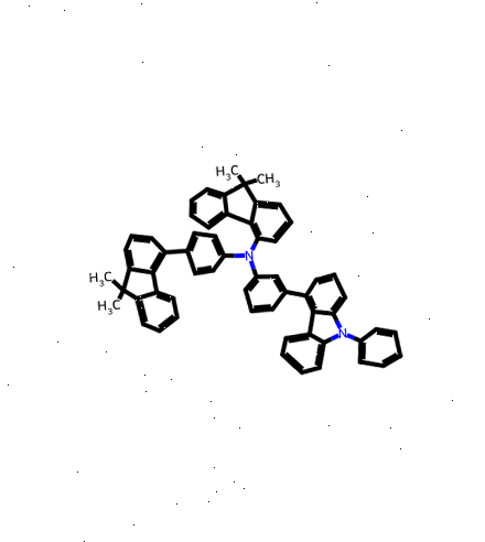 CC1(C)c2ccccc2-c2c(-c3ccc(N(c4cccc(-c5cccc6c5c5ccccc5n6-c5ccccc5)c4)c4cccc5c4-c4ccccc4C5(C)C)cc3)cccc21